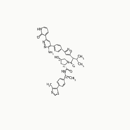 Cc1ncsc1-c1ccc([C@H](C)NC(=O)[C@@H]2C[C@@H](O)CN2C(=O)C(c2cc(-c3ccc(-c4cc(-c5ccc[nH]c5=O)nnc4N)cc3)no2)C(C)C)cc1